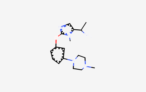 CCn1c(C(C)N)cnc1Oc1cccc(N2CCN(C)CC2)c1